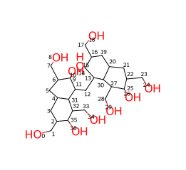 OCC1CC2CC(CO)C(O)C(CC3C(O)C(CO)CC4CC(CO)C(O)C(CO)C43)C2C(CO)C1O